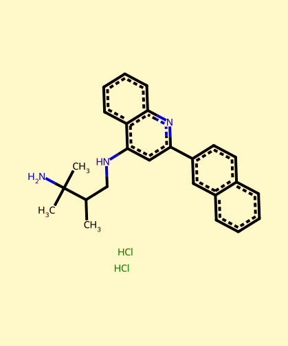 CC(CNc1cc(-c2ccc3ccccc3c2)nc2ccccc12)C(C)(C)N.Cl.Cl